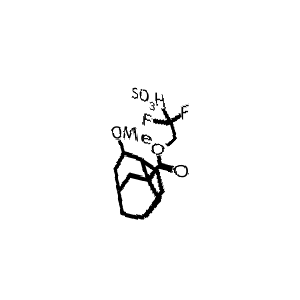 COC1CC2CC3CCC1C(C(=O)OCC(F)(F)S(=O)(=O)O)(C3)C2